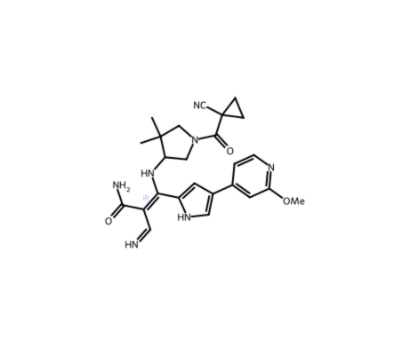 COc1cc(-c2c[nH]c(/C(NC3CN(C(=O)C4(C#N)CC4)CC3(C)C)=C(\C=N)C(N)=O)c2)ccn1